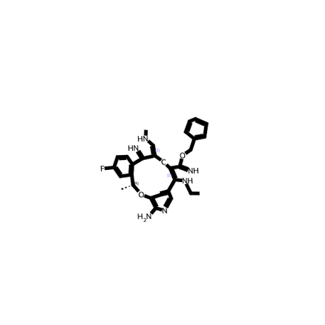 CCN/C1=C(\C(=N)OCc2ccccc2)C/C(=C/NC)C(=N)c2ccc(F)cc2[C@@H](C)Oc2cc1cnc2N